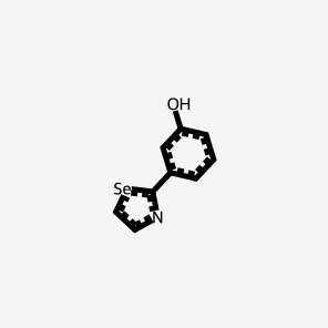 Oc1cccc(-c2ncc[se]2)c1